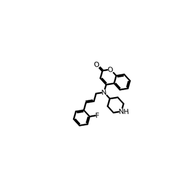 O=c1cc(N(C/C=C/c2ccccc2F)C2CCNCC2)c2ccccc2o1